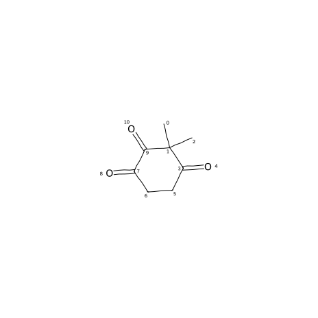 CC1(C)C(=O)CCC(=O)C1=O